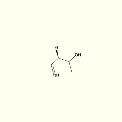 CC[C@H](C=N)C(C)O